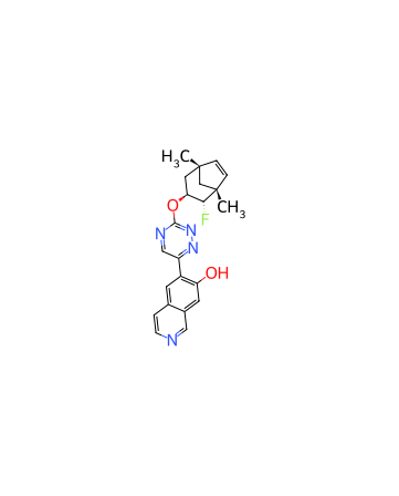 C[C@@]12C=C[C@@](C)(C1)[C@H](F)[C@@H](Oc1ncc(-c3cc4ccncc4cc3O)nn1)C2